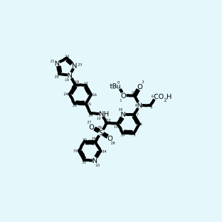 CC(C)(C)OC(=O)N(CC(=O)O)c1cccc(C(NCc2ccc(-n3cncn3)cc2)S(=O)(=O)c2cccnc2)n1